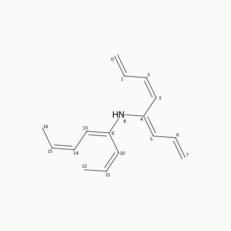 C=C/C=C\C(=C/C=C)NC(/C=C\C)=C/C=C\C